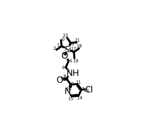 CC(C)[Si](OCCNC(=O)c1cc(Cl)ccn1)(C(C)C)C(C)C